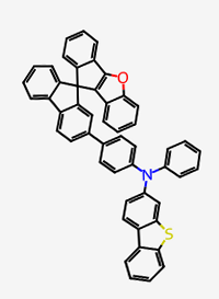 c1ccc(N(c2ccc(-c3ccc4c(c3)C3(c5ccccc5-4)c4ccccc4-c4oc5ccccc5c43)cc2)c2ccc3c(c2)sc2ccccc23)cc1